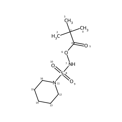 CC(C)(C)C(=O)ONS(=O)(=O)N1CCCCC1